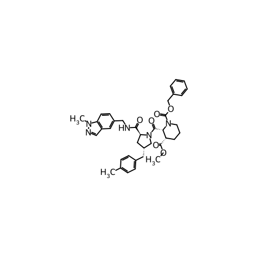 COC(=O)[C@H]1CCCN(C(=O)OCc2ccccc2)[C@H]1C(=O)N1C[C@H](Cc2ccc(C)cc2)C[C@H]1C(=O)NCc1ccc2c(cnn2C)c1